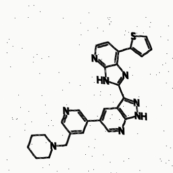 c1csc(-c2ccnc3[nH]c(-c4n[nH]c5ncc(-c6cncc(CN7CCCCC7)c6)cc45)nc23)c1